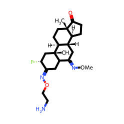 CO/N=C1\C[C@@H]2[C@H](CC[C@]3(C)C(=O)CC[C@@H]23)[C@@]2(C)C[C@@H](F)/C(=N/OCCN)CC12